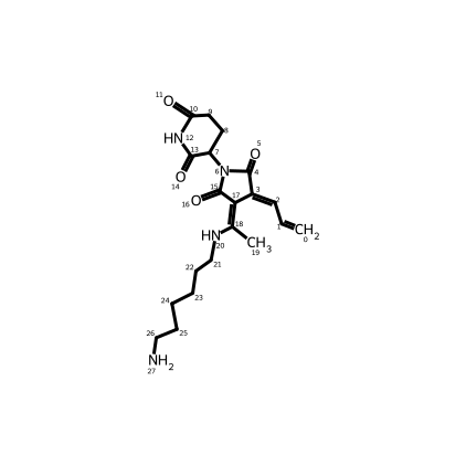 C=C/C=C1/C(=O)N(C2CCC(=O)NC2=O)C(=O)/C1=C(/C)NCCCCCCN